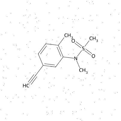 C#Cc1ccc(C)c(N(C)S(C)(=O)=O)c1